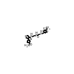 NC(=O)c1ccc2c(c1)nc(NCCCNC(=O)CCNCc1cc(F)c(OC(F)(F)F)c(F)c1)c1ccncc12